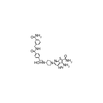 CCCc1cc(N2CCC(NCC(O)c3ccc(C(=O)NCc4cccc(C(N)=O)c4)cc3)CC2)nc2sc(C(N)=O)c(N)c12